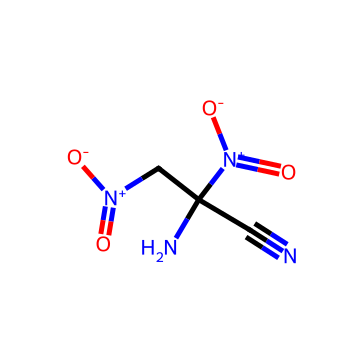 N#CC(N)(C[N+](=O)[O-])[N+](=O)[O-]